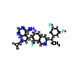 CC(c1cc(F)cc(F)c1)c1cc2ccc(-c3cn(C4CC4)c4ncnc(N)c34)c(F)c2cn1